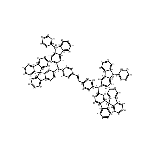 C(=C\c1ccc(N(c2ccc3c(c2)C2(c4ccccc4-c4ccccc42)c2ccccc2-3)c2ccc3c(c2)c2ccccc2n3-c2ccccc2)cc1)/c1ccc(N(c2ccc3c(c2)C2(c4ccccc4-c4ccccc42)c2ccccc2-3)c2ccc3c(c2)c2ccccc2n3-c2ccccc2)cc1